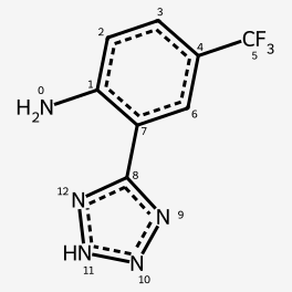 Nc1ccc(C(F)(F)F)cc1-c1nn[nH]n1